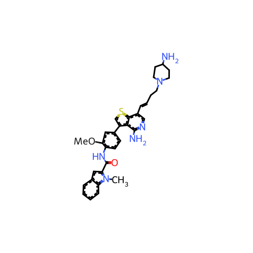 COc1cc(-c2csc3c(C=CCCN4CCC(N)CC4)cnc(N)c23)ccc1NC(=O)c1cc2ccccc2n1C